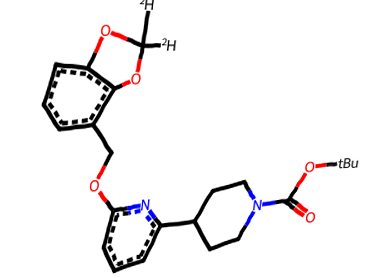 [2H]C1([2H])Oc2cccc(COc3cccc(C4CCN(C(=O)OC(C)(C)C)CC4)n3)c2O1